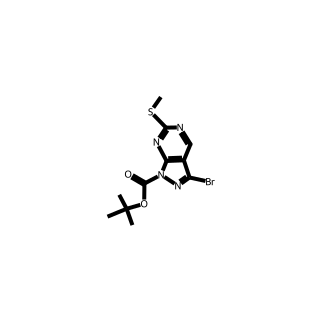 CSc1ncc2c(Br)nn(C(=O)OC(C)(C)C)c2n1